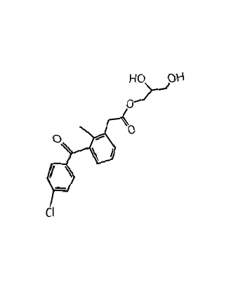 Cc1c(CC(=O)OCC(O)CO)cccc1C(=O)c1ccc(Cl)cc1